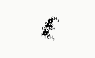 COc1c(I)c(I)cc(C(=O)Nc2csc(-c3ccc(C)cc3)c2C(=O)O)c1I